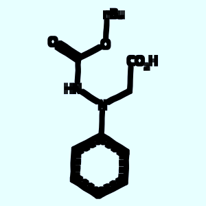 CCCCOC(=O)NN(CC(=O)O)c1ccccc1